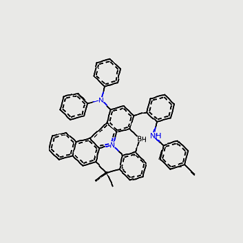 Cc1ccc(Nc2ccccc2-c2cc(N(c3ccccc3)c3ccccc3)c3c4c5ccccc5cc5c4n4c3c2Bc2cccc(c2-4)C5(C)C)cc1